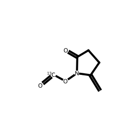 C=C1CCC(=O)N1O[13CH]=O